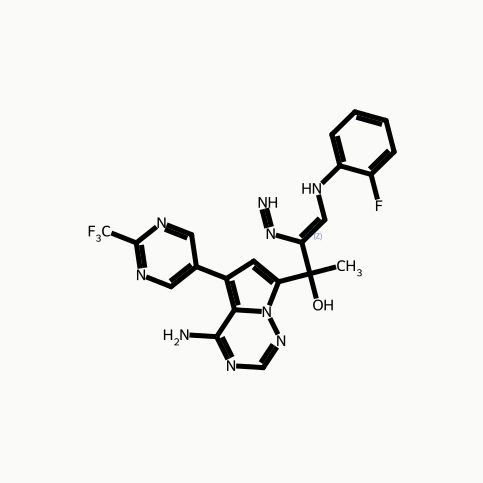 CC(O)(/C(=C/Nc1ccccc1F)N=N)c1cc(-c2cnc(C(F)(F)F)nc2)c2c(N)ncnn12